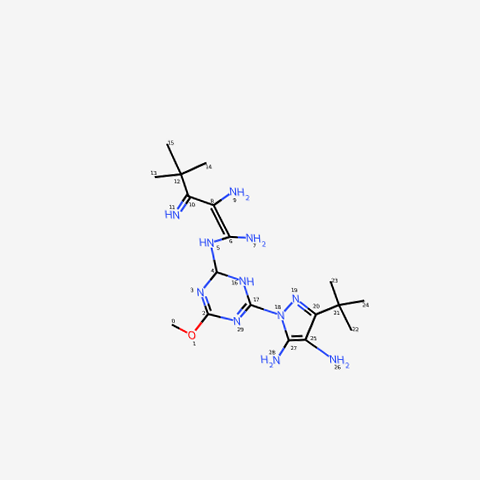 COC1=NC(N/C(N)=C(/N)C(=N)C(C)(C)C)NC(n2nc(C(C)(C)C)c(N)c2N)=N1